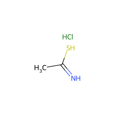 CC(=N)S.Cl